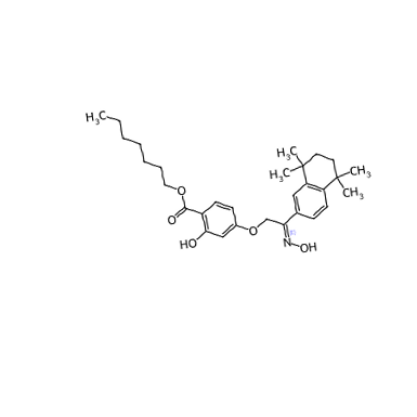 CCCCCCCOC(=O)c1ccc(OC/C(=N/O)c2ccc3c(c2)C(C)(C)CCC3(C)C)cc1O